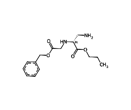 CCCOC(=O)[C@@H](CN)NCC(=O)OCc1ccccc1